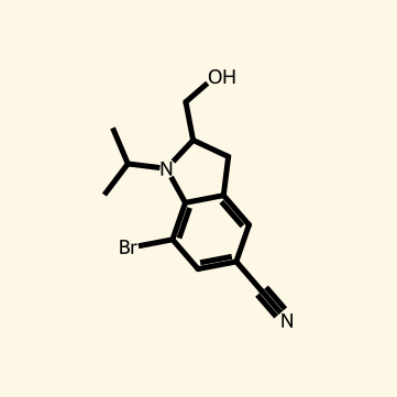 CC(C)N1c2c(Br)cc(C#N)cc2CC1CO